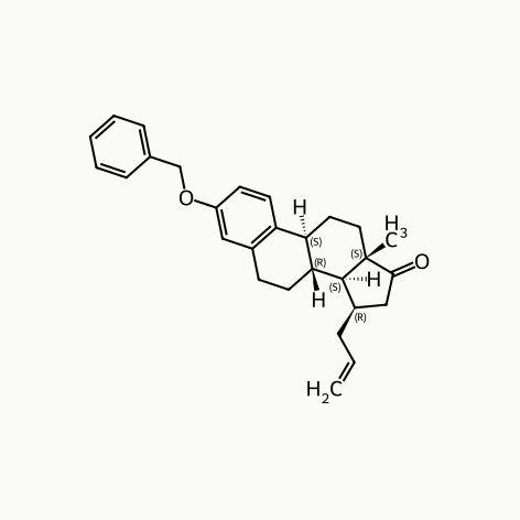 C=CC[C@@H]1CC(=O)[C@@]2(C)CC[C@@H]3c4ccc(OCc5ccccc5)cc4CC[C@H]3[C@H]12